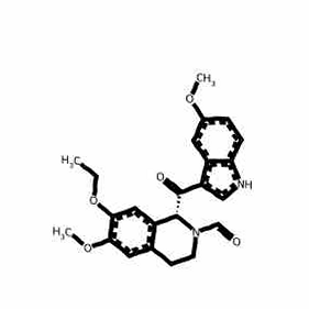 CCOc1cc2c(cc1OC)CCN(C=O)[C@H]2C(=O)c1c[nH]c2ccc(OC)cc12